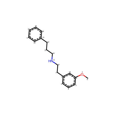 COc1cccc(CCNCCCc2ccccc2)c1